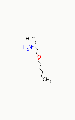 CCCCCCOCCC(N)CC